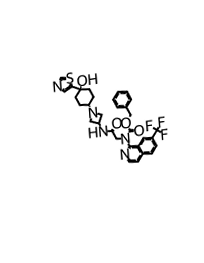 O=C(CN(C(=O)OCc1ccccc1)c1nccc2ccc(C(F)(F)F)cc12)NC1CN([C@H]2CC[C@@](O)(c3cncs3)CC2)C1